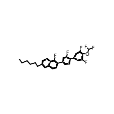 CCCCCCc1ccc2c(F)c(-c3ccc(-c4cc(F)c(OC(F)F)c(F)c4)c(F)c3)ccc2c1